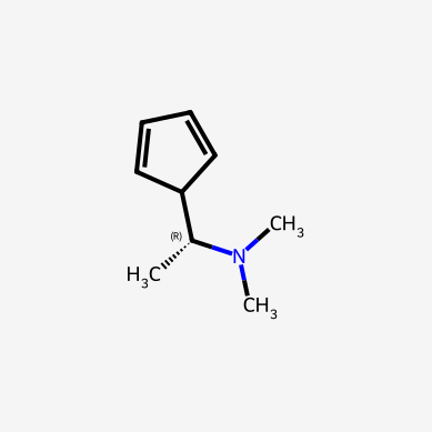 C[C@H](C1C=CC=C1)N(C)C